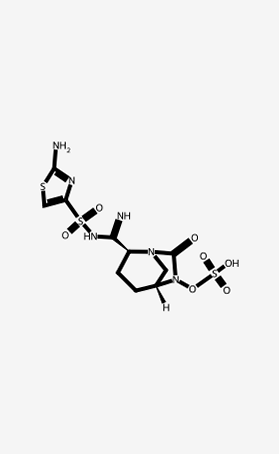 N=C(NS(=O)(=O)c1csc(N)n1)[C@@H]1CC[C@@H]2CN1C(=O)N2OS(=O)(=O)O